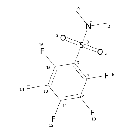 CN(C)S(=O)(=O)c1c(F)c(F)c(F)c(F)c1F